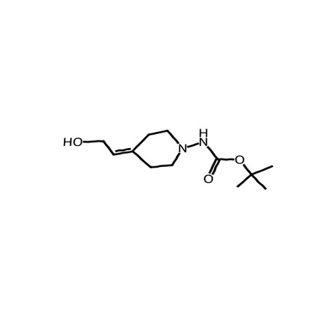 CC(C)(C)OC(=O)NN1CCC(=CCO)CC1